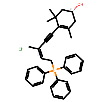 CC1=C(C#C/C(C)=C\C[P+](c2ccccc2)(c2ccccc2)c2ccccc2)C(C)(C)C[C@H](O)C1.[Cl-]